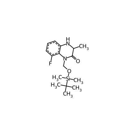 CC1Nc2cccc(F)c2N(CO[Si](C)(C)C(C)(C)C)C1=O